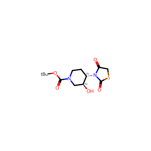 CC(C)(C)OC(=O)N1CC[C@H](N2C(=O)CSC2=O)[C@@H](O)C1